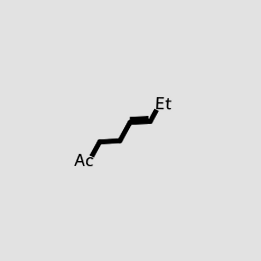 [CH2]CC=CCCC(C)=O